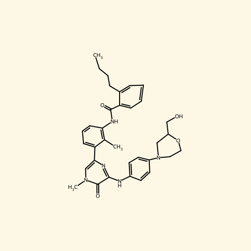 CCCCc1ccccc1C(=O)Nc1cccc(-c2cn(C)c(=O)c(Nc3ccc(N4CCOC(CO)C4)cc3)n2)c1C